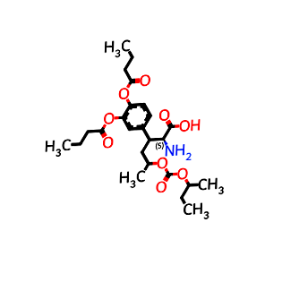 CCCC(=O)Oc1ccc(C(CC(C)OC(=O)OC(C)CC)[C@H](N)C(=O)O)cc1OC(=O)CCC